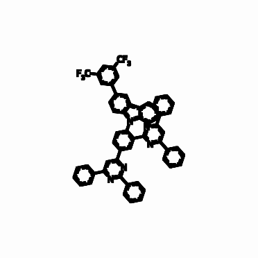 FC(F)(F)c1cc(-c2ccc3c(c2)c2ccccc2n3-c2ccc(-c3cc(-c4ccccc4)nc(-c4ccccc4)n3)cc2-c2nc(-c3ccccc3)cc(-c3ccccc3)n2)cc(C(F)(F)F)c1